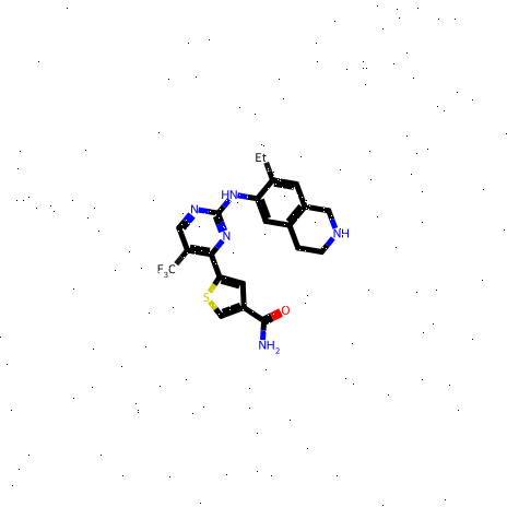 CCc1cc2c(cc1Nc1ncc(C(F)(F)F)c(-c3cc(C(N)=O)cs3)n1)CCNC2